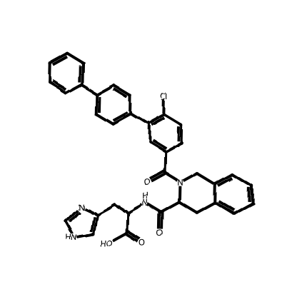 O=C(O)C(Cc1c[nH]cn1)NC(=O)C1Cc2ccccc2CN1C(=O)c1ccc(Cl)c(-c2ccc(-c3ccccc3)cc2)c1